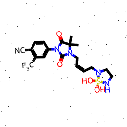 CC1(C)C(=O)N(c2ccc(C#N)c(C(F)(F)F)c2)C(=O)N1C/C=C\CN1CCNS1(O)O